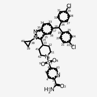 NC(=O)c1ccc(S(=O)(=O)N2CCC(c3c4cc(C(c5ccc(Cl)cc5)c5ccc(Cl)cc5)ccc4nn3C3CC3)CC2)cn1